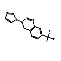 FC(F)(F)c1ccc2c(c1)N=NN(n1ccnc1)C2